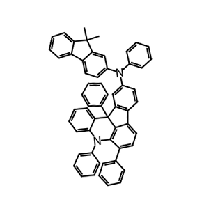 CC1(C)c2ccccc2-c2ccc(N(c3ccccc3)c3ccc4c(c3)C3(c5ccccc5)c5ccccc5N(c5ccccc5)c5c(-c6ccccc6)ccc-4c53)cc21